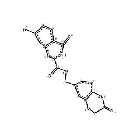 O=C1COc2cc(CNC(=O)c3nc4cc(Br)ccc4c(=O)[nH]3)ccc2N1